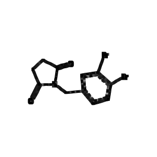 O=C1CCC(=O)N1Cc1ccc(Br)c(Br)c1